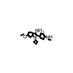 CCNc1ccc(-c2c(N)c3ccc(OCC)cc3n2C2CCC2)cc1